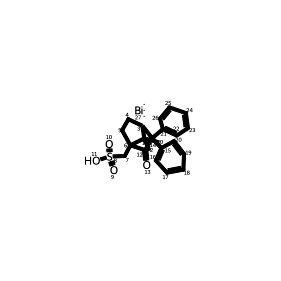 CC1(C)C2CCC1(CS(=O)(=O)O)C(=O)C2(c1ccccc1)c1ccccc1.[Bi]